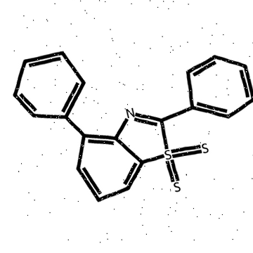 S=S1(=S)C(c2ccccc2)=Nc2c(-c3ccccc3)cccc21